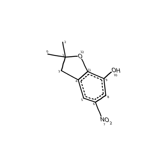 CC1(C)Cc2cc([N+](=O)[O-])cc(O)c2O1